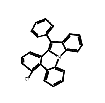 Clc1cccc2c1c1ccccc1n1c3ccccc3c(-c3ccccc3)c21